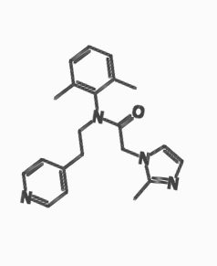 Cc1cccc(C)c1N(CCc1ccncc1)C(=O)Cn1ccnc1C